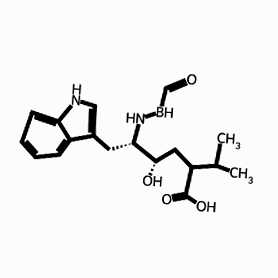 CC(C)C(C[C@H](O)[C@H](Cc1c[nH]c2ccccc12)NBC=O)C(=O)O